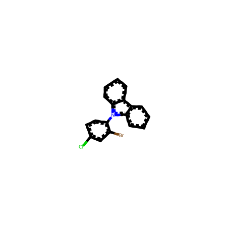 Clc1ccc(-n2c3ccccc3c3ccccc32)c(Br)c1